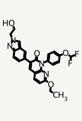 CCOc1ccc2cc(-c3ccc4nn(CCO)cc4c3)c(=O)n(-c3ccc(OC(F)F)cc3)c2n1